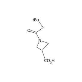 CC(C)(C)CC(=O)N1CC(C(=O)O)C1